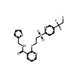 O=C(NCc1cccs1)c1cccnc1SCCS(=O)(=O)c1ccc(C(F)(F)CF)cn1